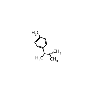 Cc1ccc(C(C)[S+](C)C)cc1